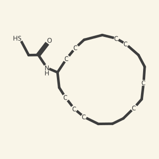 O=C(CS)NC1CCCCCCCCCCCCCCCCCC1